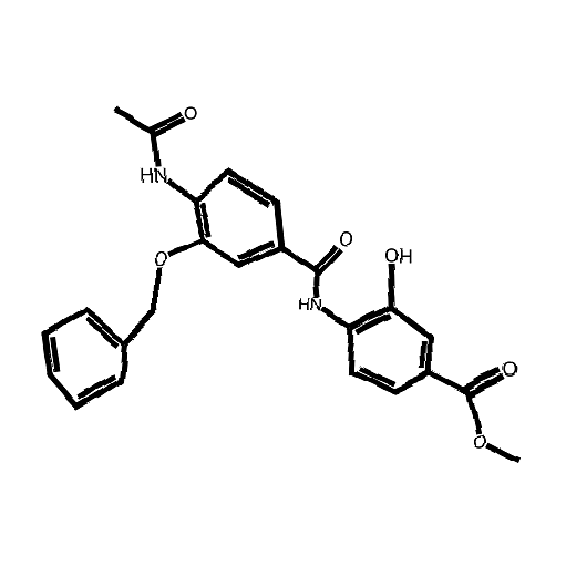 COC(=O)c1ccc(NC(=O)c2ccc(NC(C)=O)c(OCc3ccccc3)c2)c(O)c1